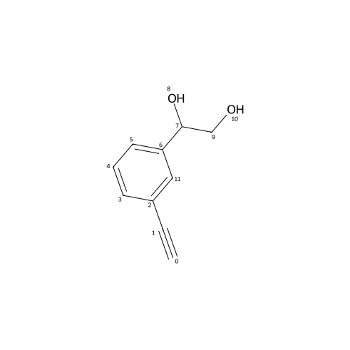 C#Cc1cccc(C(O)CO)c1